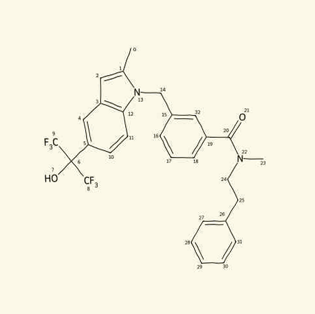 Cc1cc2cc(C(O)(C(F)(F)F)C(F)(F)F)ccc2n1Cc1cccc(C(=O)N(C)CCc2ccccc2)c1